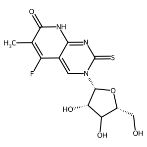 Cc1c(F)c2cn([C@@H]3O[C@H](CO)C(O)[C@@H]3O)c(=S)nc2[nH]c1=O